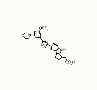 O=C(O)CC1CCc2c1[nH]c1ccc(-c3noc(-c4cc(OC(F)(F)F)cc(N5CCOCC5)c4)n3)cc21